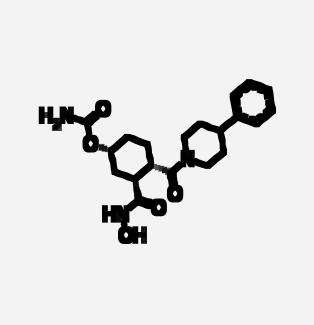 NC(=O)O[C@@H]1CC[C@H](C(=O)N2CCC(c3ccccc3)CC2)[C@@H](C(=O)NO)C1